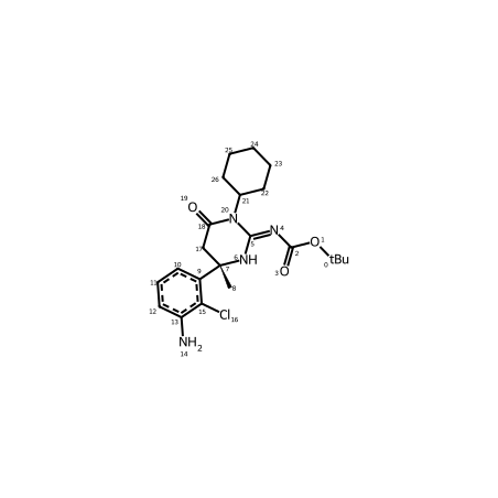 CC(C)(C)OC(=O)N=C1N[C@](C)(c2cccc(N)c2Cl)CC(=O)N1C1CCCCC1